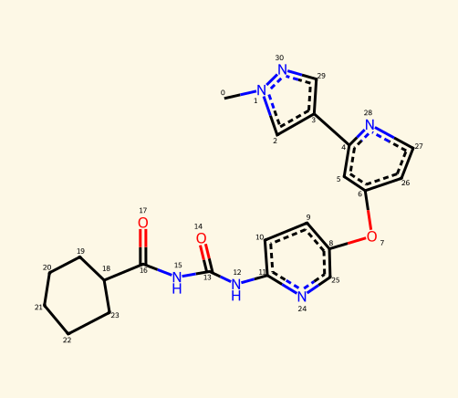 Cn1cc(-c2cc(Oc3ccc(NC(=O)NC(=O)C4CCCCC4)nc3)ccn2)cn1